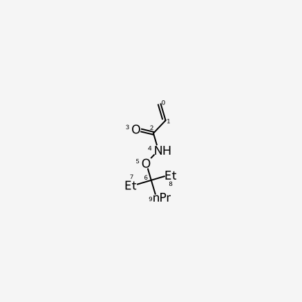 C=CC(=O)NOC(CC)(CC)CCC